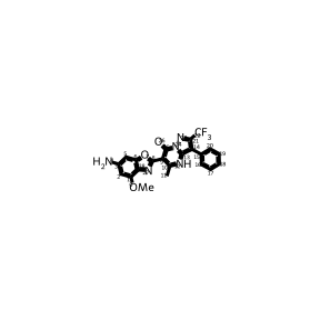 COc1cc(N)cc2oc(-c3c(C)[nH]c4c(-c5ccccc5)c(C(F)(F)F)nn4c3=O)nc12